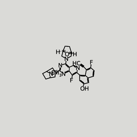 C#Cc1c(F)ccc2cc(O)cc(-c3ncc4c(N5C[C@H]6CC[C@@H](C5)O6)nc(N5CC6CCC(C5)N6C)nc4c3F)c12